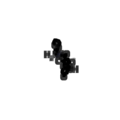 COc1cc(C(=O)O/N=C(\N)C(C)OC2CCCCO2)c(Cl)c2c1C(=O)[C@@]1(CCC(=O)C=C1O)O2